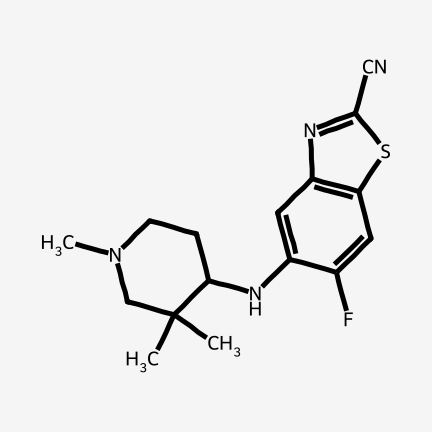 CN1CCC(Nc2cc3nc(C#N)sc3cc2F)C(C)(C)C1